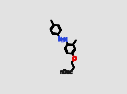 CCCCCCCCCCCCOc1ccc(/N=N/c2ccc(C)cc2)c(C)c1